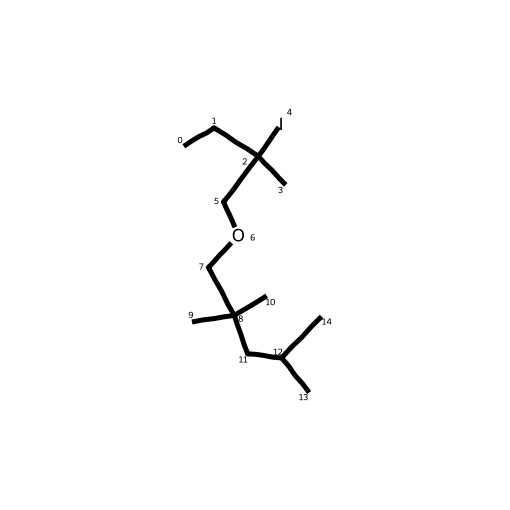 CCC(C)(I)COCC(C)(C)CC(C)C